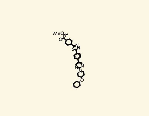 CON(C)C(=O)C1CCC(c2nnc(-c3ccc(-c4cnc(N5CCC(OC6CCCCC6)CC5)nc4)cc3)s2)CC1